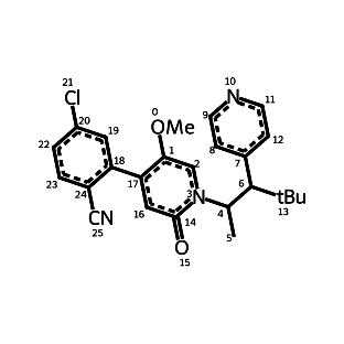 COc1cn(C(C)C(c2ccncc2)C(C)(C)C)c(=O)cc1-c1cc(Cl)ccc1C#N